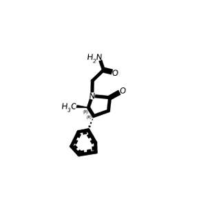 C[C@@H]1[C@@H](c2ccccc2)CC(=O)N1CC(N)=O